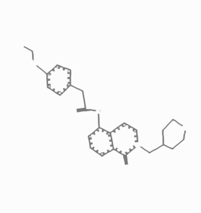 CCOc1ccc(CC(=O)Nc2cccc3c(=O)n(CC4CCOCC4)ccc23)cc1